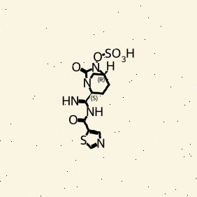 N=C(NC(=O)c1cncs1)[C@@H]1CC[C@@H]2CN1C(=O)N2OS(=O)(=O)O